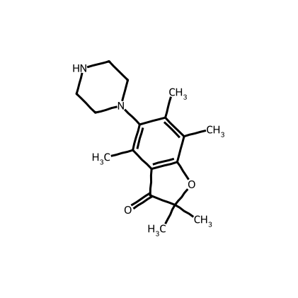 Cc1c(C)c(N2CCNCC2)c(C)c2c1OC(C)(C)C2=O